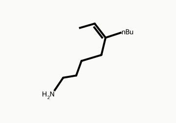 CC=C(CCCC)CCCCN